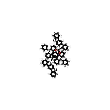 c1ccc(N2c3ccccc3C3(c4ccccc42)c2cc(-n4c5ccccc5c5cc6c(cc54)oc4ccccc46)oc2C2(c4ccccc4N(c4ccccc4)c4ccccc42)c2cc(-n4c5ccccc5c5cc6c(cc54)oc4ccccc46)oc23)cc1